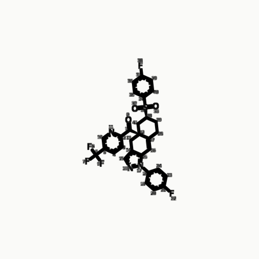 O=C(c1ccc(C(F)(F)F)cn1)[C@]12Cc3cnn(-c4ccc(F)cc4)c3C=C1CC[C@H](S(=O)(=O)c1ccc(F)cc1)C2